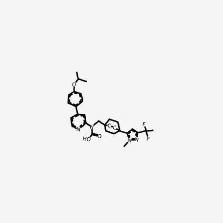 CC(C)Oc1ccc(-c2ccnc(N(CC34CCC(c5cc(C(C)(F)F)nn5C)(CC3)CC4)C(=O)O)c2)cc1